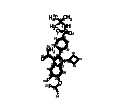 CC(C)(C)NS(=O)(=O)c1ccc(-c2c(C(N)=O)c3cc(F)c(OC(F)F)cc3n2C2CCC2)nc1